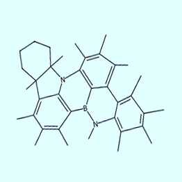 Cc1c(C)c(C)c2c(c1C)-c1c(C)c(C)c(C)c3c1B(c1c(C)c(C)c(C)c4c1N3C1(C)CCCCC41C)N2C